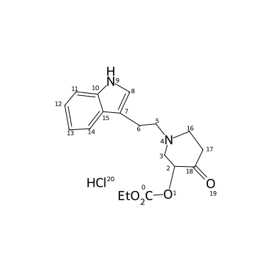 CCOC(=O)OC1CN(CCc2c[nH]c3ccccc23)CCC1=O.Cl